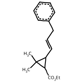 CCOC(=O)C1C(C=CCc2ccccc2)C1(C)C